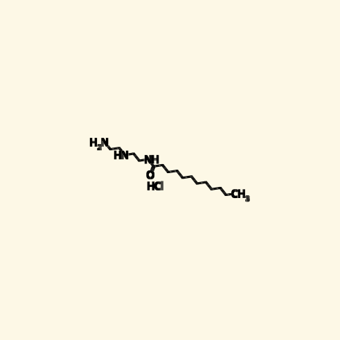 CCCCCCCCCCCC(=O)NCCNCCN.Cl